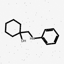 OC1(CNc2ccccc2)CCCCC1